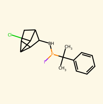 CC(C)(c1ccccc1)P(I)BC1C2CC3C(C2Cl)C13